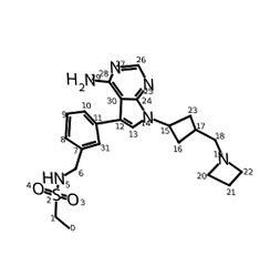 CCS(=O)(=O)NCc1cccc(-c2cn(C3CC(CN4CCC4)C3)c3ncnc(N)c23)c1